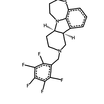 Fc1c(F)c(F)c(CN2CC[C@@H]3[C@H](C2)c2cccc4c2N3CCCS4)c(F)c1F